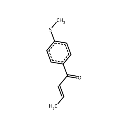 CC=CC(=O)c1ccc(SC)cc1